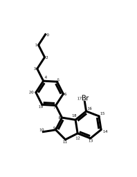 CCCCc1ccc(C2=C(C)Cc3cccc(Br)c32)cc1